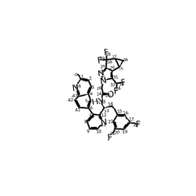 Cc1ccc2cc(-c3cccnc3[C@H](Cc3cc(F)cc(F)c3)NC(=O)Cn3nc4c(c3C(F)F)C3CC3C4(F)F)ccc2n1